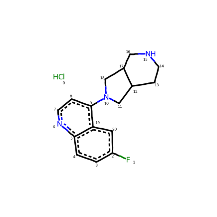 Cl.Fc1ccc2nccc(N3CC4CCNCC4C3)c2c1